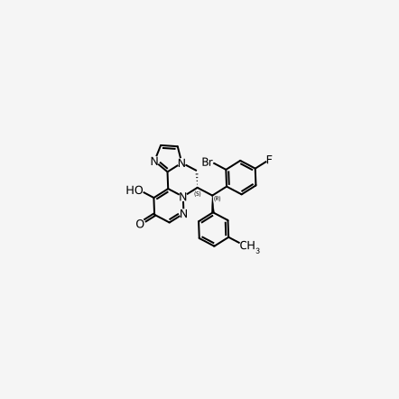 Cc1cccc([C@H](c2ccc(F)cc2Br)[C@H]2Cn3ccnc3-c3c(O)c(=O)cnn32)c1